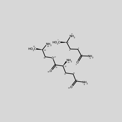 NC(=O)CC[C@H](N)C(=O)O.NC(=O)CC[C@H](N)C(=O)OC[C@H](N)C(=O)O